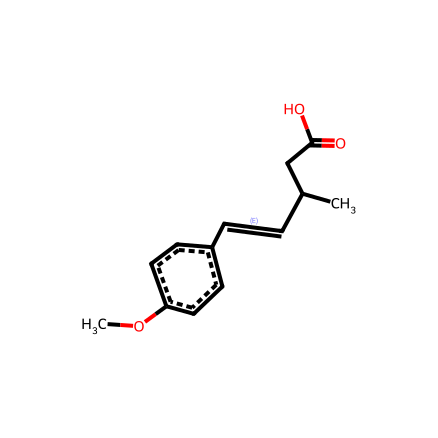 COc1ccc(/C=C/C(C)CC(=O)O)cc1